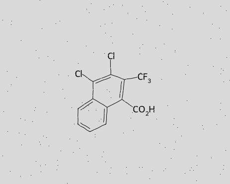 O=C(O)c1c(C(F)(F)F)c(Cl)c(Cl)c2ccccc12